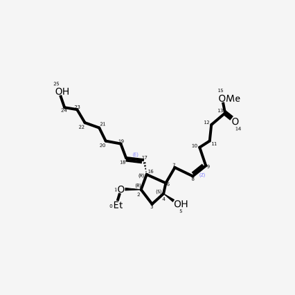 CCO[C@@H]1C[C@H](O)C(C/C=C\CCCC(=O)OC)[C@H]1/C=C/CCCCCCO